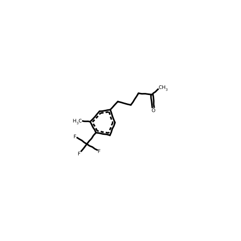 CC(=O)CCCc1ccc(C(F)(F)F)c(C)c1